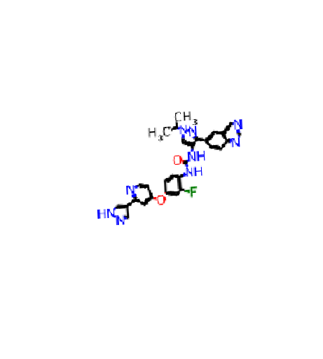 CC(C)n1cc(NC(=O)Nc2ccc(Oc3ccnc(-c4cn[nH]c4)c3)cc2F)c(-c2ccc3ncncc3c2)n1